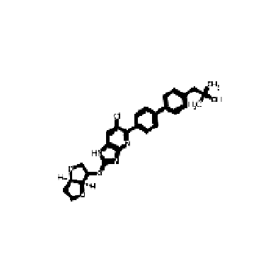 CC(C)(O)Cc1ccc(-c2ccc(-c3nc4nc(OC5CO[C@@H]6CCO[C@H]56)[nH]c4cc3Cl)cc2)cc1